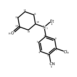 CCN(c1ccc(C#N)c(Cl)c1)C1CCCC(=O)C1